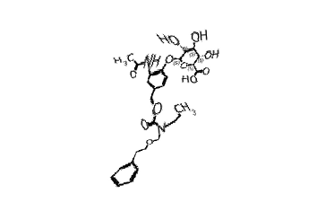 CCN(COCCc1ccccc1)C(=O)OCc1ccc(O[C@@H]2O[C@H](C(=O)O)[C@@H](O)[C@H](O)[C@H]2O)c(NC(C)=O)c1